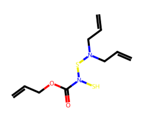 C=CCOC(=O)N(S)SN(CC=C)CC=C